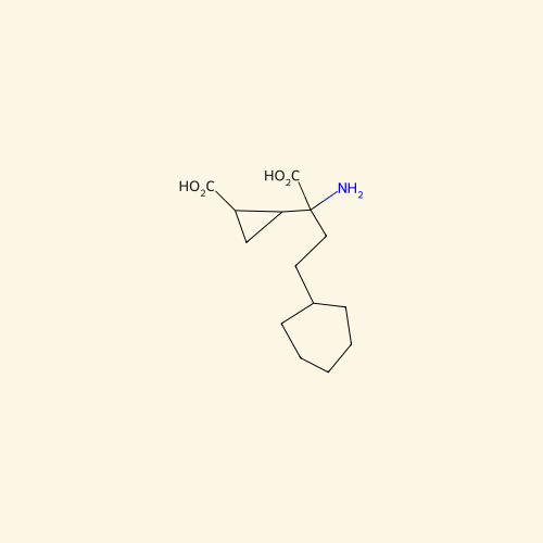 NC(CCC1CCCCC1)(C(=O)O)C1CC1C(=O)O